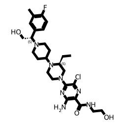 CC[C@H]1CN(c2nc(N)c(C(=O)NCCO)nc2Cl)CCN1C1CCN([C@H](CO)c2ccc(F)c(C)c2)CC1